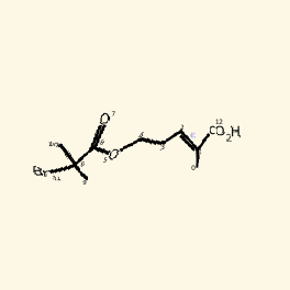 C/C(=C\CCOC(=O)C(C)(C)Br)C(=O)O